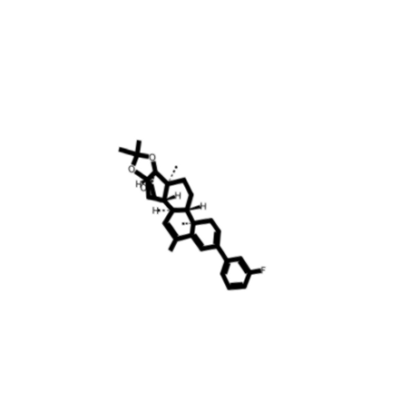 CC(=O)[C@@]12OC(C)(C)O[C@H]1C[C@H]1[C@@H]3C=C(C)C4=CC(c5cccc(F)c5)=CC[C@]4(C)[C@H]3CC[C@@]12C